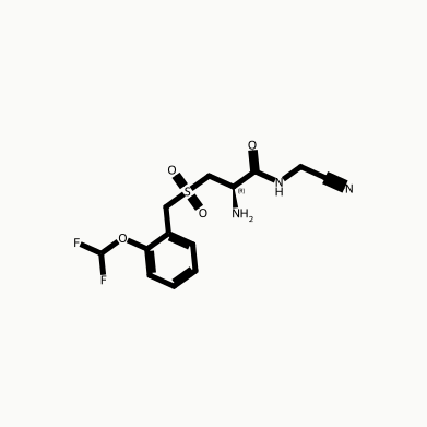 N#CCNC(=O)[C@@H](N)CS(=O)(=O)Cc1ccccc1OC(F)F